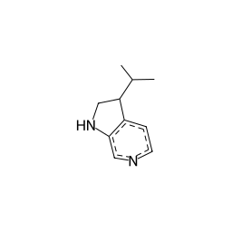 CC(C)C1CNc2cnccc21